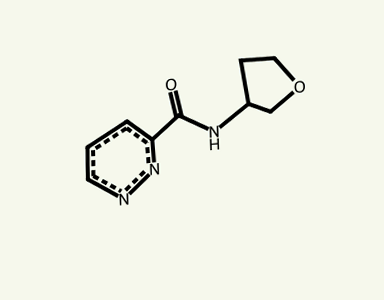 O=C(NC1CCOC1)c1cccnn1